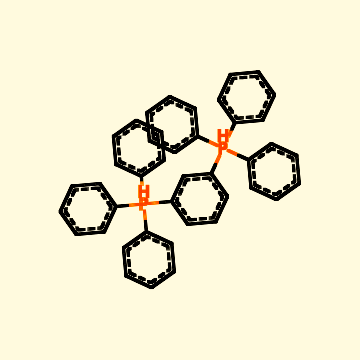 c1ccc([PH](c2ccccc2)(c2ccccc2)c2cccc([PH](c3ccccc3)(c3ccccc3)c3ccccc3)c2)cc1